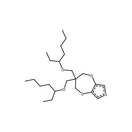 CCCCC(CC)OCC1(COC(CC)CCCC)COc2cscc2OC1